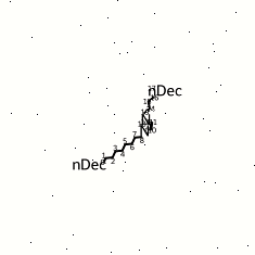 CCCCCCCCCCCCCCCCCCN1C=CN(CCCCCCCCCCCCCC)C1